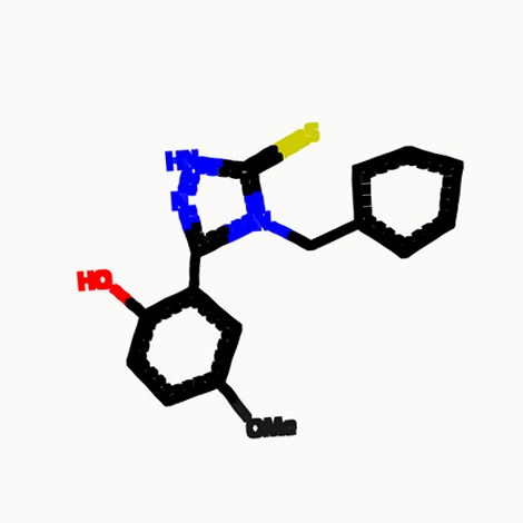 COc1ccc(O)c(-c2n[nH]c(=S)n2Cc2ccccc2)c1